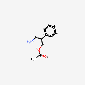 CC(=O)OCC(CN)c1ccccc1